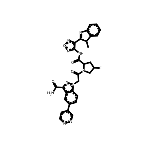 CC1C(c2nonc2NC(=O)C2CC(F)CN2C(=O)Cn2nc(C(N)=O)c3cc(-c4ccnnc4)ccc32)=Nc2ccccc21